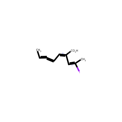 CC=C=C/C=C(\C=C(/C)I)C(=O)O